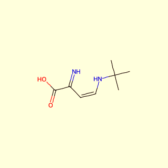 CC(C)(C)N/C=C\C(=N)C(=O)O